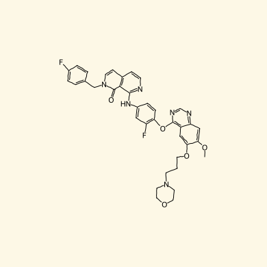 COc1cc2ncnc(Oc3ccc(Nc4nccc5ccn(Cc6ccc(F)cc6)c(=O)c45)cc3F)c2cc1OCCCN1CCOCC1